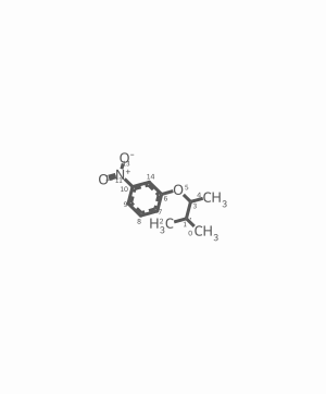 C[C](C)C(C)Oc1cccc([N+](=O)[O-])c1